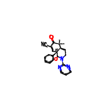 CC1(C)C(=O)C(C#N)=C[C@@]2(c3ccccc3)C(=O)N(c3ncccn3)CC=C12